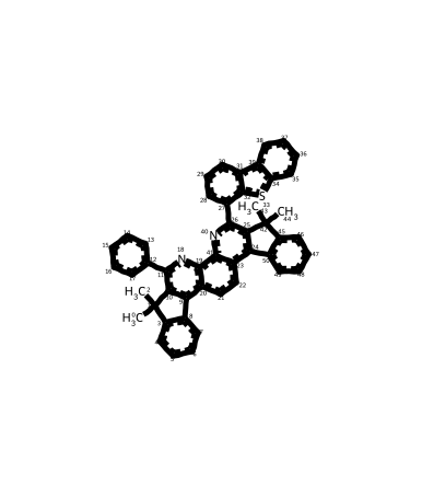 CC1(C)c2ccccc2-c2c1c(-c1ccccc1)nc1c2ccc2c3c(c(-c4cccc5c4sc4ccccc45)nc21)C(C)(C)c1ccccc1-3